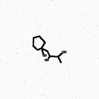 CC(O)C(O)CC1(O)CCCCC1